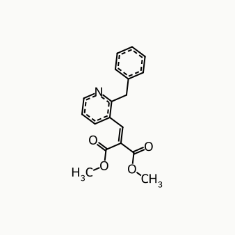 COC(=O)C(=Cc1cccnc1Cc1ccccc1)C(=O)OC